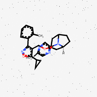 Cc1ccccc1-c1noc(C2CC2)c1COC1CC2CC[C@@H](C1)N2c1cnc(C(=O)O)cn1